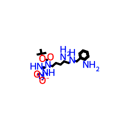 CC(C)(C)OC(=O)N(CCC[C@H](N)CNCc1ccccc1N)C(=N)N[N+](=O)[O-]